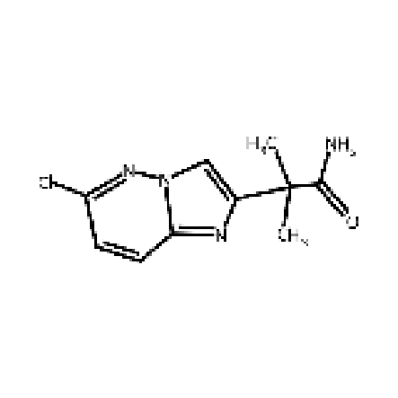 CC(C)(C(N)=O)c1cn2nc(Cl)ccc2n1